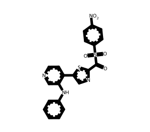 O=C(c1ncc(-c2ccncc2Nc2ccccc2)s1)S(=O)(=O)c1ccc([N+](=O)[O-])cc1